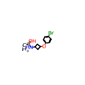 CB(O)NC1CC(Oc2ccc(Br)cc2)C1